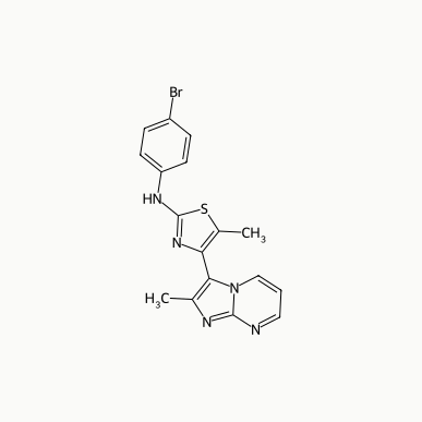 Cc1nc2ncccn2c1-c1nc(Nc2ccc(Br)cc2)sc1C